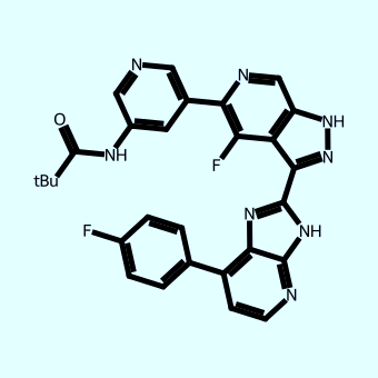 CC(C)(C)C(=O)Nc1cncc(-c2ncc3[nH]nc(-c4nc5c(-c6ccc(F)cc6)ccnc5[nH]4)c3c2F)c1